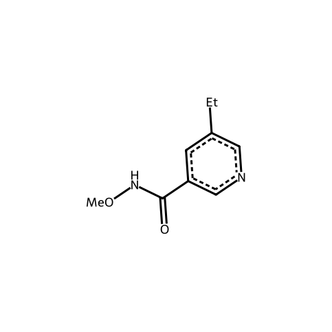 CCc1cncc(C(=O)NOC)c1